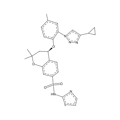 Cc1ccc(O[C@@H]2CC(C)(C)Oc3cc(S(=O)(=O)Nc4nccs4)ccc32)c(-n2cc(C3CC3)nn2)c1